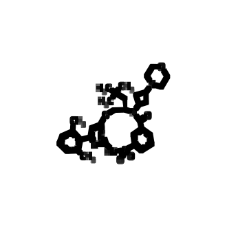 Cc1cccc(C)c1-c1cc2nc(n1)NS(=O)(=O)c1cccc(c1)C(=O)N(C1CC(N3CCOCC3)C1)[C@H](CC(C)(C)C)CO2